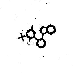 Cc1cc(-c2ccccc2C2C=Cc3ccccc32)c(O)c(C(C)(C)C)c1